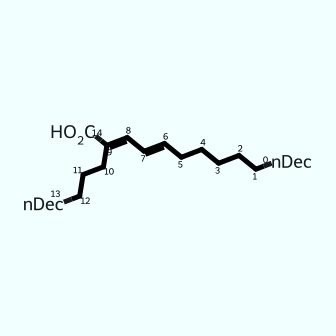 CCCCCCCCCCCCCCCC=CC=C(CCCCCCCCCCCCC)C(=O)O